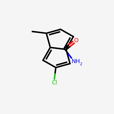 CC1=C/C=C/C=C(Cl)\C=C\1C(N)=O